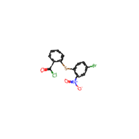 O=C(Cl)c1ccccc1Sc1ccc(Br)cc1[N+](=O)[O-]